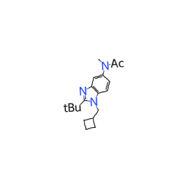 CC(=O)N(C)c1ccc2c(c1)nc(C(C)(C)C)n2CC1CCC1